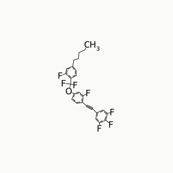 CCCCCc1ccc(C(F)(F)Oc2ccc(C#Cc3cc(F)c(F)c(F)c3)c(F)c2)c(F)c1